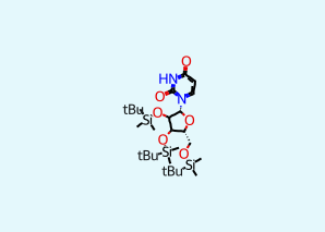 CC(C)(C)[Si](C)(C)OC[C@H]1O[C@@H](n2ccc(=O)[nH]c2=O)C(O[Si](C)(C)C(C)(C)C)C1O[Si](C)(C)C(C)(C)C